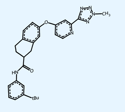 Cn1nnc(-c2cc(Oc3ccc4c(c3)CC(C(=O)Nc3cccc(C(C)(C)C)c3)CC4)ccn2)n1